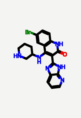 O=c1[nH]c2ccc(Br)cc2c(NC2CCCNC2)c1-c1nc2cccnc2[nH]1